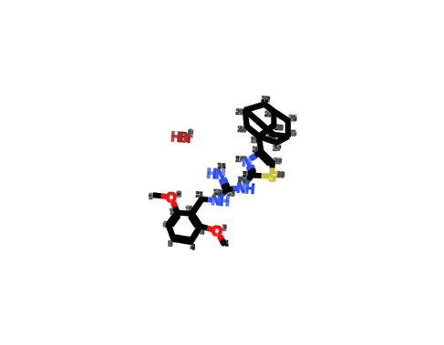 Br.COc1cccc(OC)c1CNC(=N)Nc1nc(C23CC4CC(CC(C4)C2)C3)cs1